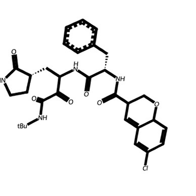 CC(C)(C)NC(=O)C(=O)C(C[C@@H]1CCNC1=O)NC(=O)[C@H](Cc1ccccc1)NC(=O)C1C=C2C=C(Cl)C=CC2OC1